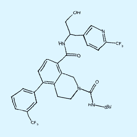 CC(C)(C)NC(=O)N1CCc2c(-c3cccc(C(F)(F)F)c3)ccc(C(=O)NC(CO)c3ccc(C(F)(F)F)nc3)c2C1